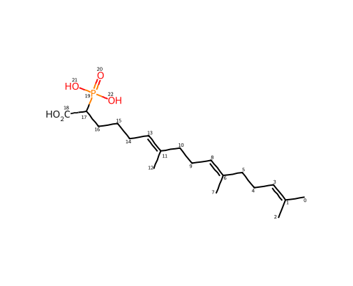 CC(C)=CCC/C(C)=C/CC/C(C)=C/CCCC(C(=O)O)P(=O)(O)O